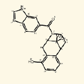 CC1(C)C2CCN(C(=O)c3ccc4nc[nH]c4c3)C1Cc1c(O)cccc12